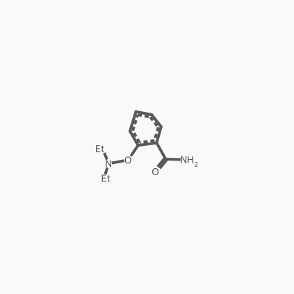 CCN(CC)Oc1ccccc1C(N)=O